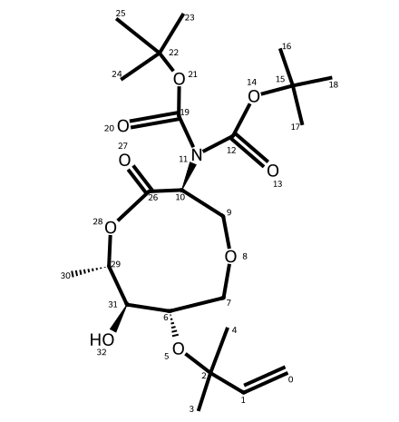 C=CC(C)(C)O[C@H]1COC[C@H](N(C(=O)OC(C)(C)C)C(=O)OC(C)(C)C)C(=O)O[C@@H](C)[C@@H]1O